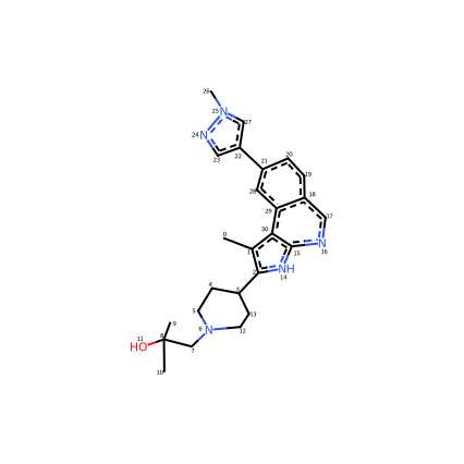 Cc1c(C2CCN(CC(C)(C)O)CC2)[nH]c2ncc3ccc(-c4cnn(C)c4)cc3c12